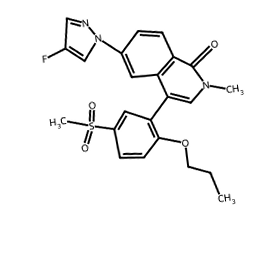 CCCOc1ccc(S(C)(=O)=O)cc1-c1cn(C)c(=O)c2ccc(-n3cc(F)cn3)cc12